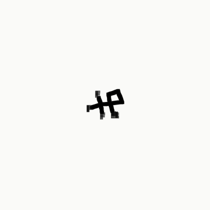 CCC1(C(F)(F)F)CCC1